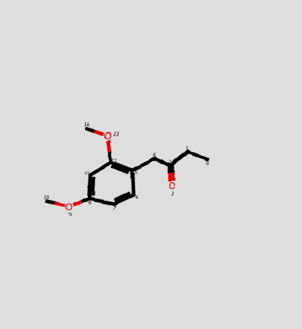 CCC(=O)Cc1ccc(OC)cc1OC